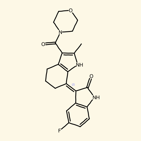 Cc1[nH]c2c(c1C(=O)N1CCOCC1)CCC/C2=C1/C(=O)Nc2ccc(F)cc21